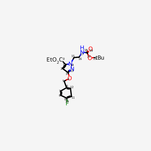 CCOC(=O)c1cc(OCc2ccc(F)cc2)nn1CCNC(=O)OC(C)(C)C